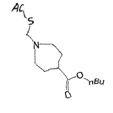 CCCCOC(=O)C1CCN(CSC(C)=O)CC1